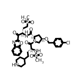 CS(=O)(=O)CC[C@H](NC(=O)[C@@H]1C[C@@H](OCc2ccc(Cl)cc2)CN1C(=O)[C@@H](CCC1CCNCC1)NS(C)(=O)=O)C(=O)c1nc2ccccc2o1